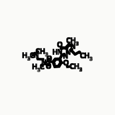 CCCc1nc(C)c2c(=O)[nH]c(-c3cc(S(=O)(=O)N(C)CCN(C)C)ccc3OCC)nn12